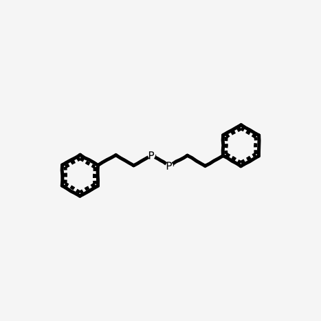 c1ccc(CC[P][P]CCc2ccccc2)cc1